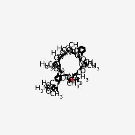 Cc1nn(Cc2ccc(C[C@H]3OC(=O)[C@H](CC(C)C)N(C)C(=O)[C@@H](C)OC(=O)[C@H](CC(C)C)N(C)C(=O)[C@@H](Cc4ccccc4)OC(=O)[C@H](CC(C)C)N(C)C(=O)[C@@H](C)OC(=O)[C@H](CC(C)C)N(C)C3=O)cc2)c(C)c1S(N)(=O)=O